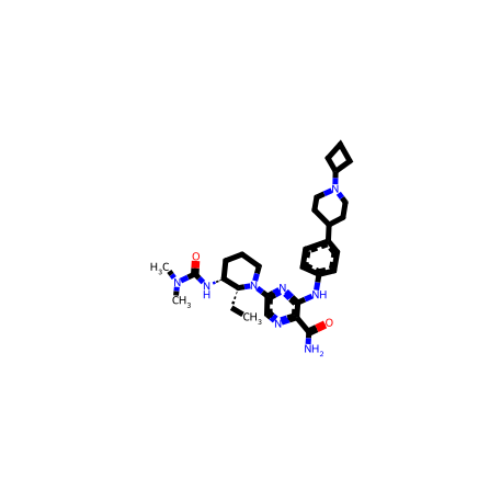 CC[C@@H]1[C@H](NC(=O)N(C)C)CCCN1c1cnc(C(N)=O)c(Nc2ccc(C3CCN(C4CCC4)CC3)cc2)n1